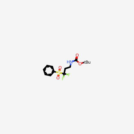 CC(C)(C)OC(=O)NCCC(F)(F)S(=O)(=O)c1ccccc1